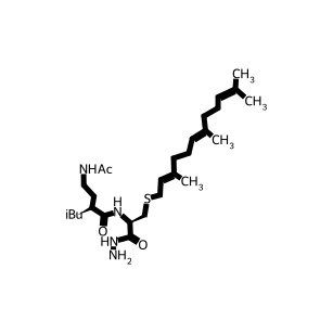 CC[C@H](C)C(CCNC(C)=O)C(=O)N[C@@H](CSC/C=C(\C)CC/C=C(\C)CCC=C(C)C)C(=O)NN